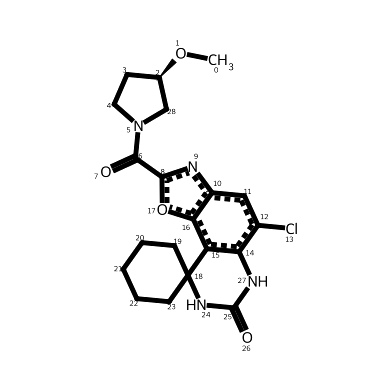 CO[C@@H]1CCN(C(=O)c2nc3cc(Cl)c4c(c3o2)C2(CCCCC2)NC(=O)N4)C1